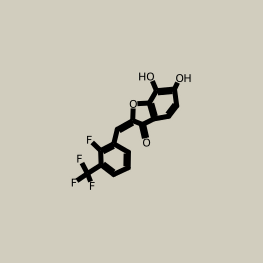 O=C1/C(=C\c2cccc(C(F)(F)F)c2F)Oc2c1ccc(O)c2O